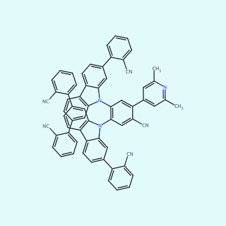 Cc1cc(-c2cc(-n3c4cc(-c5ccccc5C#N)ccc4c4ccc(-c5ccccc5C#N)cc43)c(-n3c4cc(-c5ccccc5C#N)ccc4c4ccc(-c5ccccc5C#N)cc43)cc2C#N)cc(C)n1